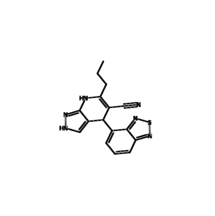 CCCC1=C(C#N)C(c2cccc3nsnc23)c2c[nH]nc2N1